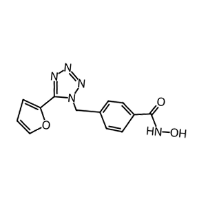 O=C(NO)c1ccc(Cn2nnnc2-c2ccco2)cc1